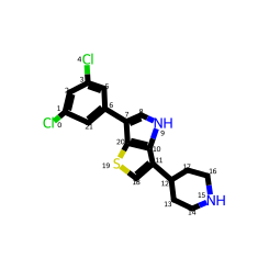 Clc1cc(Cl)cc(-c2c[nH]c3c(C4CCNCC4)csc23)c1